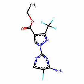 CCOC(=O)c1cn(-c2ncc(F)c(N)n2)nc1C(F)(F)F